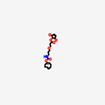 O=C(CCOCCCNC(=O)O[C@@H]1CC/C=C/CCC1)OC1C(=O)C=CC1=O